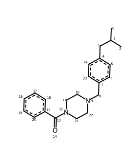 CC(C)Cc1ccc(CN2CCN(C(=O)c3ccccc3)CC2)cc1